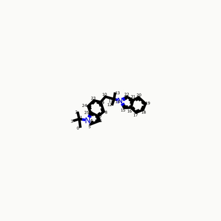 CC(C)(C)n1ccc2cc(CC(C)(C)n3cc4ccccc4c3)ccc21